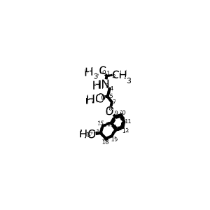 CC(C)NCC(O)COc1cccc2c1CC(O)CC2